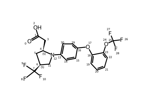 O=C(O)C[C@@H]1C[C@H](C(F)(F)F)CN1c1ccc(Oc2ccccc2OC(F)(F)F)cc1